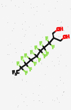 OCC(CO)C(F)(F)C(F)(F)C(F)(F)C(F)(F)C(F)(F)C(F)(F)C(F)(F)C(F)(F)F